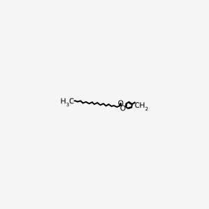 C=Cc1ccc(OC(=O)CCCCCCCCCCCCCCCCC)cc1